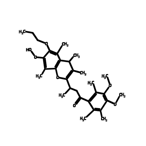 CCCOc1c(C)c2c(c(C)c1OO)OC(C(C)CC(=O)c1c(C)c(C)c(OC)c(OC)c1C)=C(C)C2C